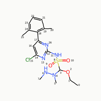 CCOC(N(C)NC)S(=O)(=O)Nc1nc(Cl)cc(-c2c(C)cccc2C)n1